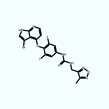 Cc1nonc1CNC(=O)Nc1cc(F)c(Oc2ccnc3[nH]cc(Br)c23)c(F)c1